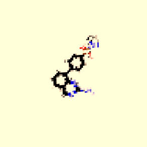 CNS(=O)(=O)c1ccc(-c2cccc3cnc(N)nc23)cc1